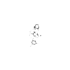 Cc1cc(C)cc(Oc2[nH]c(=O)n(Cc3ccccn3)c(=O)c2C(C)C)c1